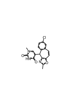 Cc1nc2c(o1)C=Cc1cc(Cl)ccc1C2c1cn(C)c(=O)[nH]c1=O